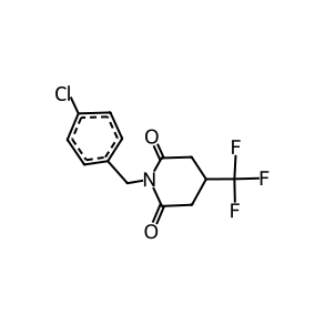 O=C1CC(C(F)(F)F)CC(=O)N1Cc1ccc(Cl)cc1